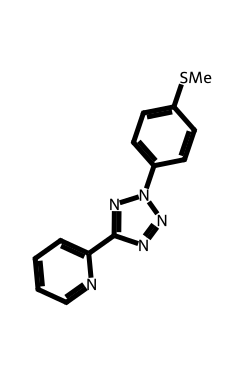 CSc1ccc(-n2nnc(-c3ccccn3)n2)cc1